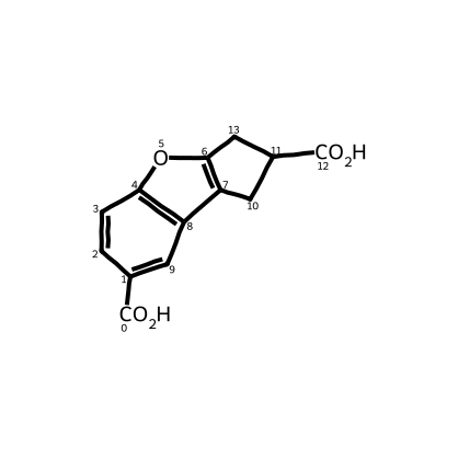 O=C(O)c1ccc2oc3c(c2c1)CC(C(=O)O)C3